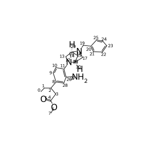 CCC(CC(=O)OC)c1ccc(N2C[C@@H]3C[C@H]2CN3Cc2ccccc2)c(N)c1